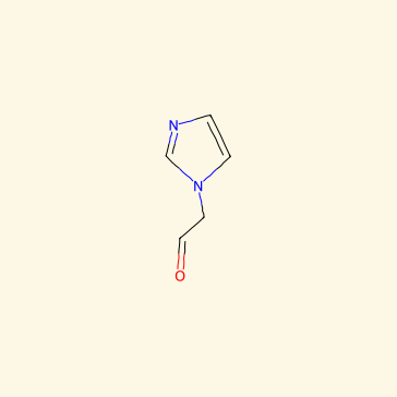 O=CCn1ccnc1